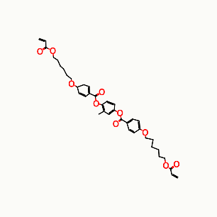 C=CC(=O)OCCCCCCOc1ccc(C(=O)Oc2ccc(OC(=O)C3=CCC(OCCCCCCOC(=O)C=C)C=C3)c(C)c2)cc1